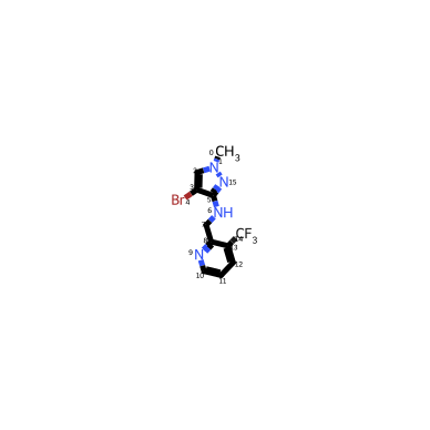 Cn1cc(Br)c(NCc2ncccc2C(F)(F)F)n1